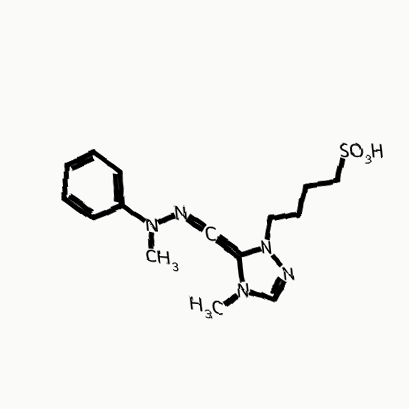 CN1C=NN(CCCCS(=O)(=O)O)C1=C=NN(C)c1ccccc1